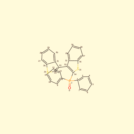 O=P(c1ccccc1)(c1ccccc1)c1sc2ccccc2c1-c1csc2ccccc12